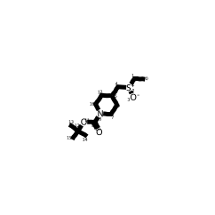 CC[S+]([O-])CC1CCN(C(=O)OC(C)(C)C)CC1